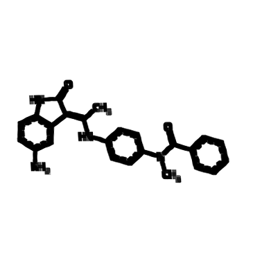 CC(Nc1ccc(N(C)C(=O)c2ccccc2)cc1)=C1C(=O)Nc2ccc(N)cc21